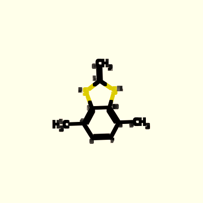 C=C1Sc2c(C)ccc(C)c2S1